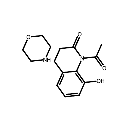 C1COCCN1.CC(=O)N1C(=O)CCc2cccc(O)c21